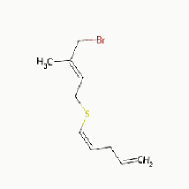 C=CC/C=C\SC/C=C(\C)CBr